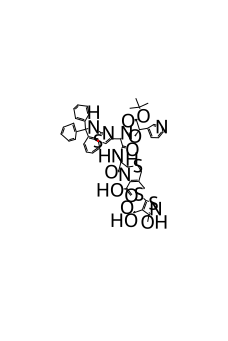 CC(C)(C)OC(=O)[C@H](O/N=C(\C(=O)N[C@@H]1C(=O)N2C(C(=O)O)=C(CSc3snc(O)c3C(=O)O)CS[C@@H]12)c1csc(NC(c2ccccc2)(c2ccccc2)c2ccccc2)n1)c1cccnc1